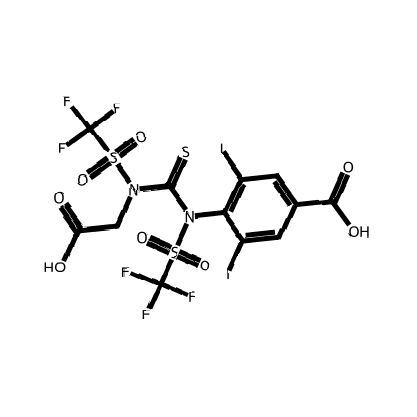 O=C(O)CN(C(=S)N(c1c(I)cc(C(=O)O)cc1I)S(=O)(=O)C(F)(F)F)S(=O)(=O)C(F)(F)F